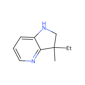 CCC1(C)CNc2cccnc21